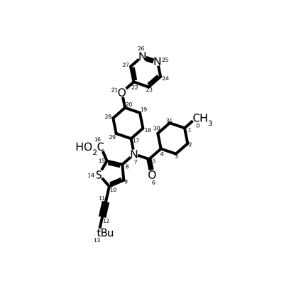 CC1CCC(C(=O)N(c2cc(C#CC(C)(C)C)sc2C(=O)O)C2CCC(Oc3ccnnc3)CC2)CC1